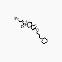 CC(C)CNC(=O)N1CCc2sc(OCCCN3CCCCC3)cc2C1